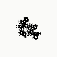 NC(=O)[C@@H](Cc1ccc2ccccc2c1)NC(=O)[C@H](Cc1c[nH]c2ccccc12)NC(=O)[C@H](Cc1c[nH]c2ccccc12)NC(=O)[C@H](N)Cc1c[nH]c2ccccc12